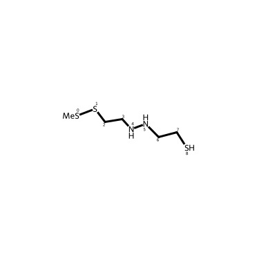 CSSCCNNCCS